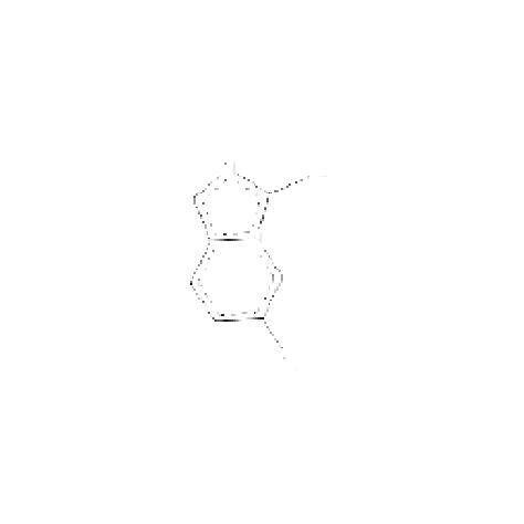 O=Cc1ncc2ccc(C(F)(F)F)cn12